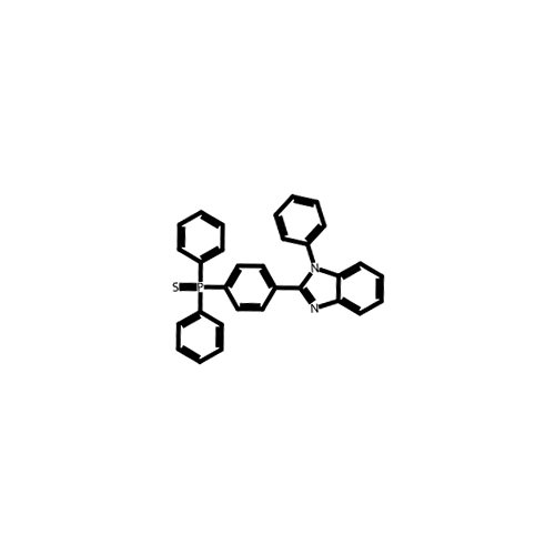 S=P(c1ccccc1)(c1ccccc1)c1ccc(-c2nc3ccccc3n2-c2ccccc2)cc1